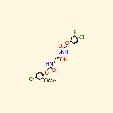 COc1cc(Cl)ccc1OCC(=O)NCC[C@H](O)CNC(=O)COc1ccc(Cl)c(F)c1